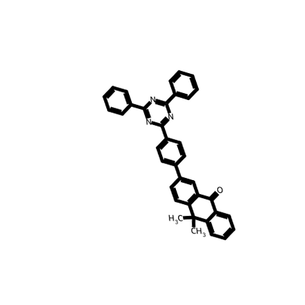 CC1(C)c2ccccc2C(=O)c2cc(-c3ccc(-c4nc(-c5ccccc5)nc(-c5ccccc5)n4)cc3)ccc21